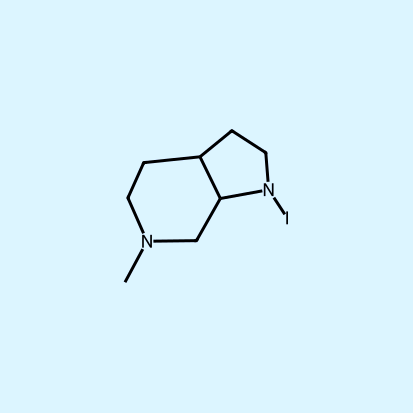 CN1CCC2CCN(I)C2C1